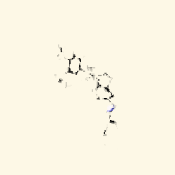 COC(=O)/C=C/c1cnc2c(c1)CCN2S(=O)(=O)c1ccc(OC)c(OC)c1